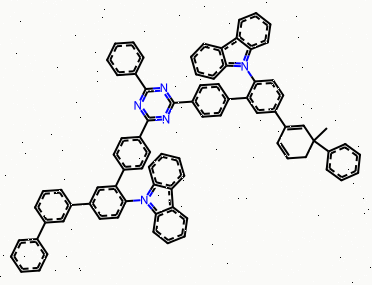 CC1(c2ccccc2)C=C(c2ccc(-n3c4ccccc4c4ccccc43)c(-c3ccc(-c4nc(-c5ccccc5)nc(-c5ccc(-c6cc(-c7cccc(-c8ccccc8)c7)ccc6-n6c7ccccc7c7ccccc76)cc5)n4)cc3)c2)C=CC1